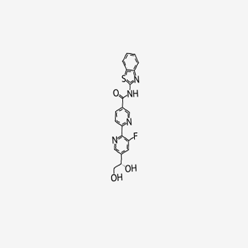 O=C(Nc1nc2ccccc2s1)c1ccc(-c2ncc([C@H](O)CO)cc2F)nc1